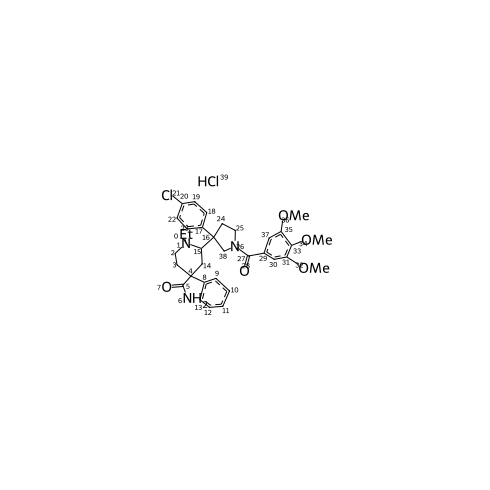 CCN1CCC(C(N)=O)(c2ccccc2)CC1C1(c2ccc(Cl)cc2)CCN(C(=O)c2cc(OC)c(OC)c(OC)c2)C1.Cl